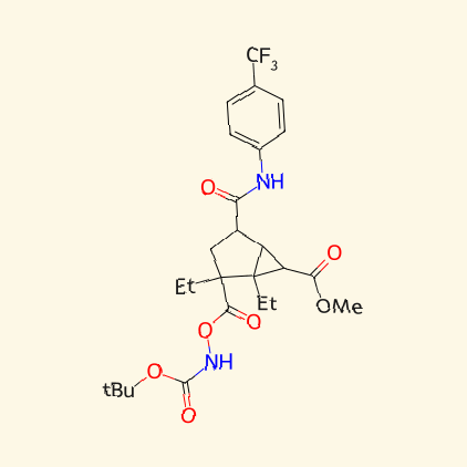 CCC1(C(=O)ONC(=O)OC(C)(C)C)CC(C(=O)Nc2ccc(C(F)(F)F)cc2)C2C(C(=O)OC)C21CC